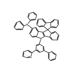 c1ccc(N(c2ccccc2)c2ccc3c(c2)c2c(n3-c3cc(-c4ccccn4)cc(-c4ccccn4)c3)-c3ccccc3C23c2ccccc2-c2ccccc23)cc1